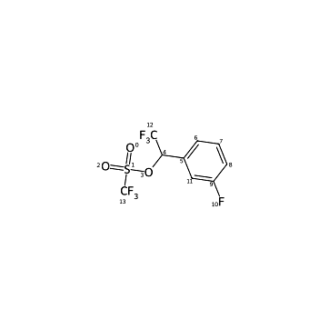 O=S(=O)(OC(c1cccc(F)c1)C(F)(F)F)C(F)(F)F